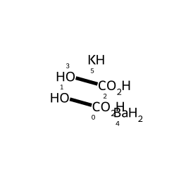 O=C(O)O.O=C(O)O.[BaH2].[KH]